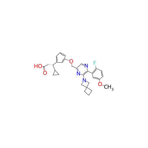 COc1ccc(F)c(-c2ncc(COc3cccc([C@@H](CC(=O)O)C4CC4)c3)nc2N2CC3(CCC3)C2)c1